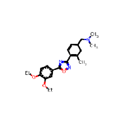 CCOc1ccc(-c2nc(C3=C(C)CC(CN(C)C)C=C3)no2)cc1OCC